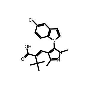 Cc1nn(C)c(-n2ccc3cc(Cl)ccc32)c1/C=C(/C(=O)O)C(C)(C)C